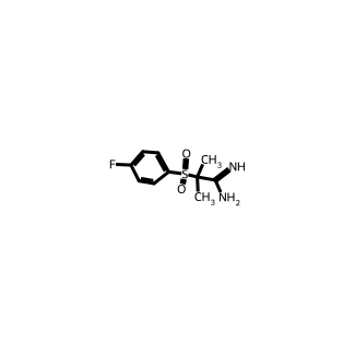 CC(C)(C(=N)N)S(=O)(=O)c1ccc(F)cc1